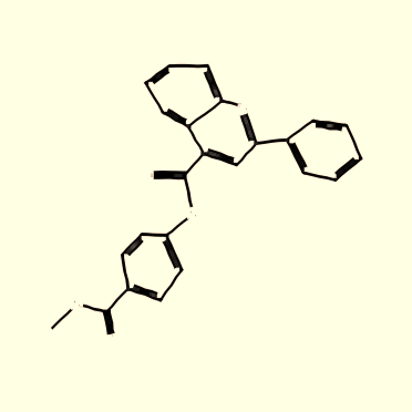 CNC(=O)c1ccc(NC(=O)c2cc(-c3ccccc3)nc3ccccc23)cc1